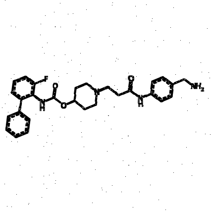 NCc1ccc(NC(=O)CCN2CCC(OC(=O)Nc3c(F)cccc3-c3ccccc3)CC2)cc1